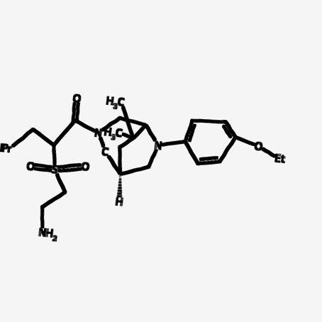 CCOc1ccc(N2C[C@H]3CN(C(=O)C(CC(C)C)S(=O)(=O)CCN)CC2C(C)(C)C3)cc1